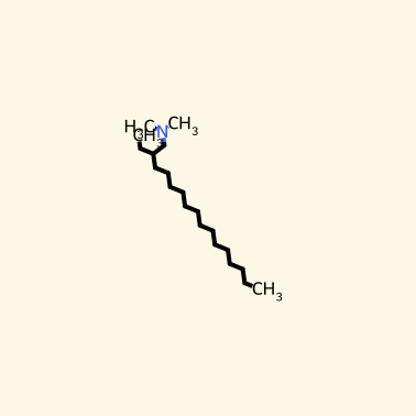 CCCCCCCCCCCCCCC(CC)CN(C)C